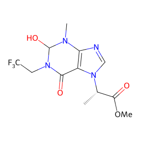 COC(=O)[C@H](C)n1cnc2c1C(=O)N(CC(F)(F)F)C(O)N2C